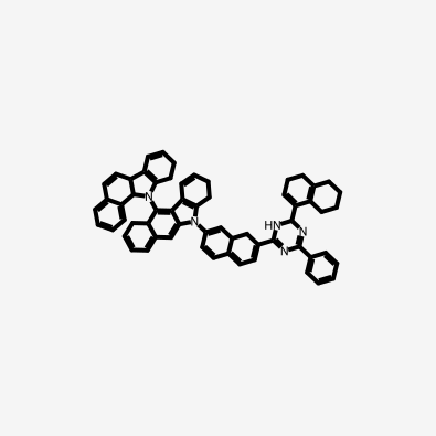 C1=CCC2C(=C1)C=c1c(c3c(n1C1=CC4CC(C5=NC(c6ccccc6)=NC(C6=CCCC7=C6CCCC7)N5)=CC=C4C=C1)CCC=C3)=C2N1C2=C(C=CCC2)C2C=Cc3ccccc3C21